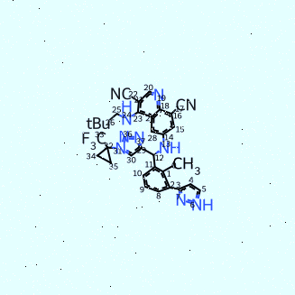 Cc1c(-c2cc[nH]n2)cccc1[C@H](Nc1cc(C#N)c2ncc(C#N)c(NCC(C)(C)C)c2c1)c1cn(C2(C(F)(F)F)CC2)nn1